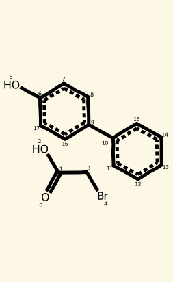 O=C(O)CBr.Oc1ccc(-c2ccccc2)cc1